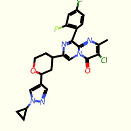 Cc1nc2c(-c3ccc(Cl)cc3F)nc(C3CCOC(c4cnn(C5CC5)c4)C3)cn2c(=O)c1Cl